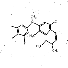 CCN(C)/C=N\c1cc(C)c(N(C)c2cc(F)c(F)c(F)c2)cc1Cl